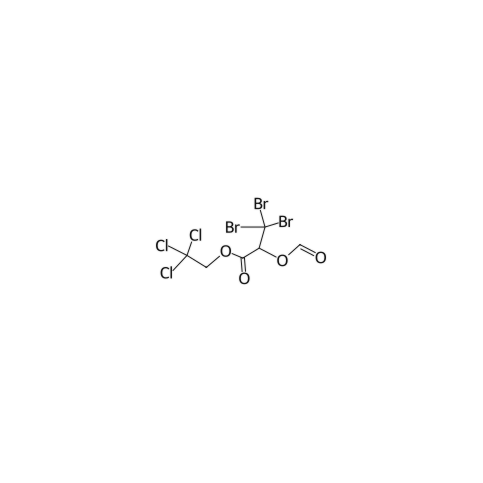 O=COC(C(=O)OCC(Cl)(Cl)Cl)C(Br)(Br)Br